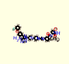 CN(C(=O)c1cc(N2CC(N3CCC(N4CCC(n5nc(-c6ccc(Oc7ccccc7F)cc6)c6c(N)ncnc65)CC4)CC3)C2)ccc1C=O)C1CCC(=O)NC1=O